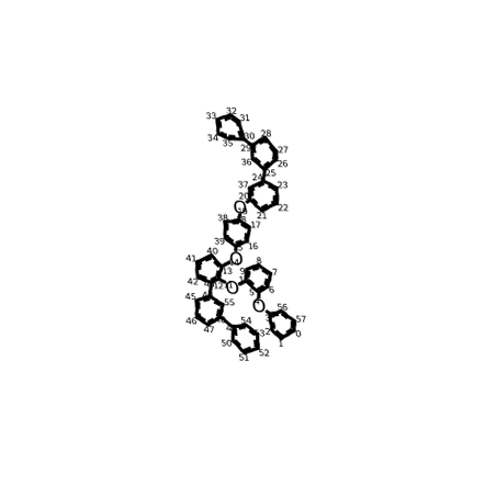 c1ccc(Oc2ccccc2Oc2c(Oc3ccc(Oc4cccc(-c5cccc(-c6ccccc6)c5)c4)cc3)cccc2-c2cccc(-c3ccccc3)c2)cc1